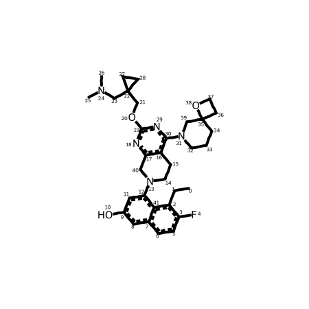 CCc1c(F)ccc2cc(O)cc(N3CCc4c(nc(OCC5(CN(C)C)CC5)nc4N4CCCC5(CCO5)C4)C3)c12